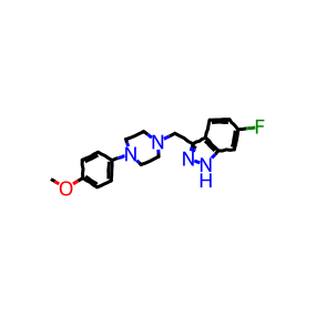 COc1ccc(N2CCN(Cc3n[nH]c4cc(F)ccc34)CC2)cc1